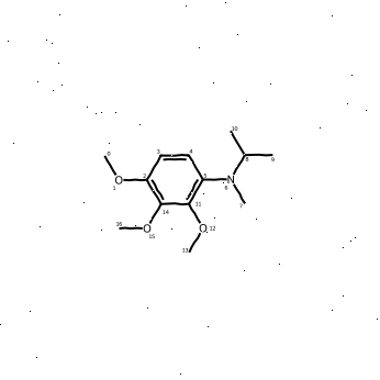 COc1ccc(N(C)C(C)C)c(OC)c1OC